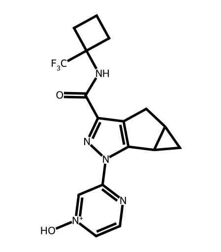 O=C(NC1(C(F)(F)F)CCC1)c1nn(-c2c[n+](O)ccn2)c2c1CC1CC21